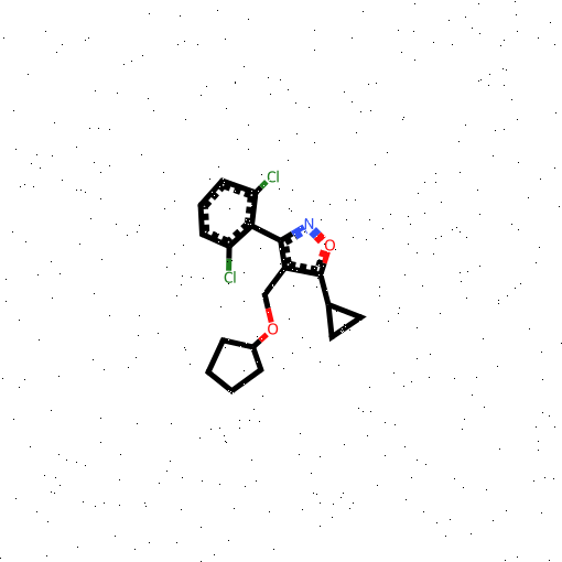 Clc1cccc(Cl)c1-c1noc(C2CC2)c1COC1CCCC1